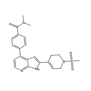 CN(C)C(=O)c1ccc(-c2ccnc3[nH]c(C4=CCN(S(C)(=O)=O)CC4)cc23)cc1